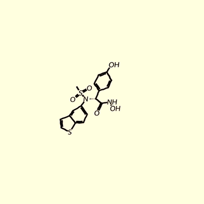 CS(=O)(=O)N(c1ccc2sccc2c1)[C@@H](C(=O)NO)c1ccc(O)cc1